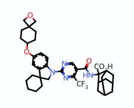 O=C(NC1(C(=O)O)C2CC3CC(C2)CC1C3)c1cnc(N2CC3(CCCCC3)c3cc(OC4CCC5(CC4)COC5)ccc32)nc1C(F)(F)F